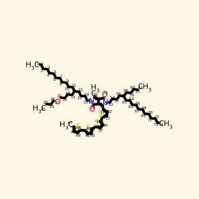 CCCCCCCCCCCCC(CCCCOCCCC)CCCCN1C(=O)C2=C(c3ccc(-c4ccc(-c5ccc(-c6ccc(C)s6)s5)s4)s3)N(CCCCC(CCCCC)CCCCCCCCCCCC)C(=O)C2=C1C